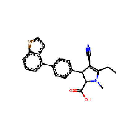 CCC1=C(C#N)C(c2ccc(-c3cccc4sccc34)cc2)C(C(=O)O)N1C